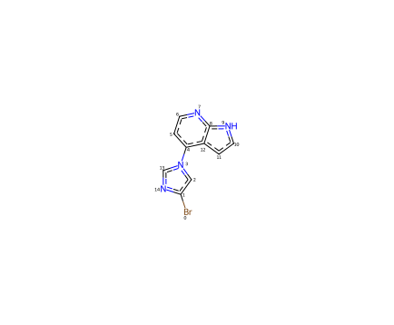 Brc1cn(-c2ccnc3[nH]ccc23)cn1